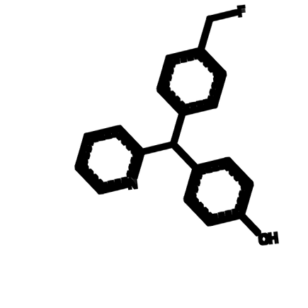 Oc1ccc(C(c2ccc(CF)cc2)c2ccccn2)cc1